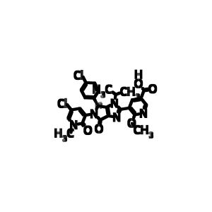 COc1ncc(C(=O)O)cc1-c1nc2c(n1C(C)C)[C@H](c1ccc(Cl)cc1)N(c1cc(Cl)cn(C)c1=O)C2=O